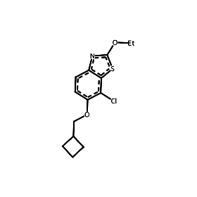 CCOc1nc2ccc(OCC3CCC3)c(Cl)c2s1